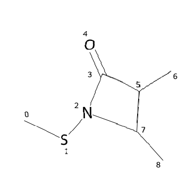 CSN1C(=O)C(C)C1C